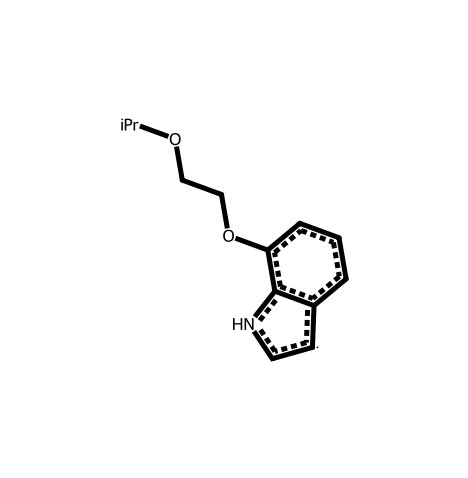 CC(C)OCCOc1cccc2[c]c[nH]c12